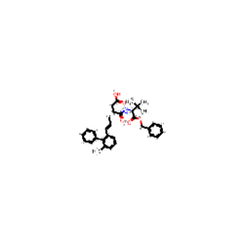 Cc1cccc(C=CC[C@H](CC(=O)O)C(=O)N[C@H](C(=O)OCc2ccccc2)C(C)(C)C)c1-c1ccccc1